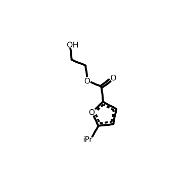 CC(C)c1ccc(C(=O)OCCO)o1